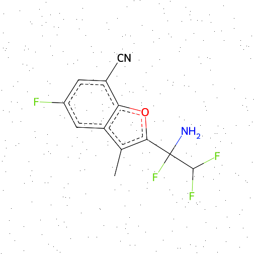 Cc1c(C(N)(F)C(F)F)oc2c(C#N)cc(F)cc12